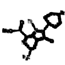 CCn1c2c(C(=O)OC)nc(C(F)(F)F)cc2c(=O)n1-c1ccc(Br)cc1